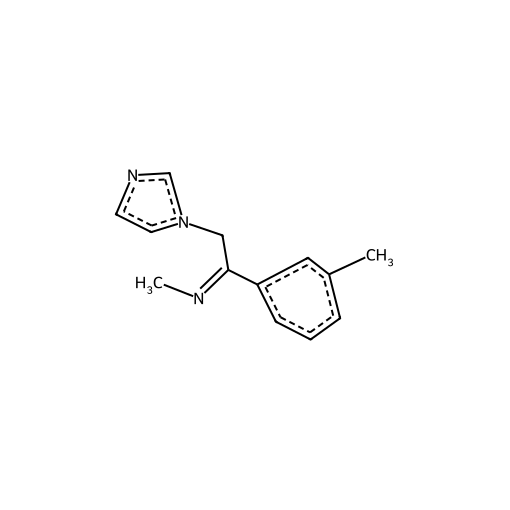 CN=C(Cn1ccnc1)c1cccc(C)c1